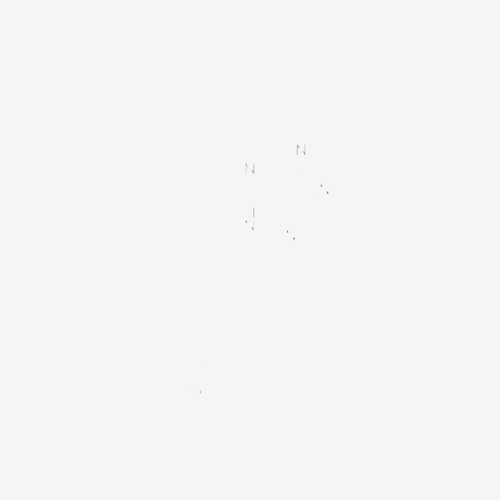 COc1ccc(CCNc2ncnc3nc(C)c(C)nc23)cc1